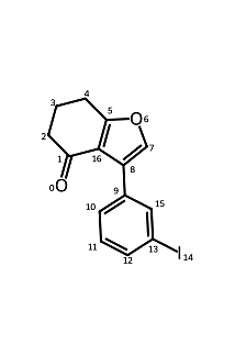 O=C1CCCc2occ(-c3cccc(I)c3)c21